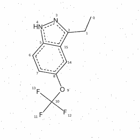 CCc1n[nH]c2ccc(OC(F)(F)F)cc12